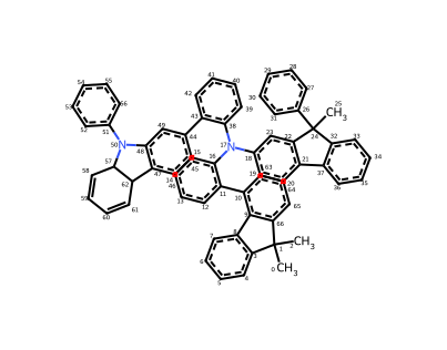 CC1(C)c2ccccc2-c2c(-c3ccccc3N(c3ccc4c(c3)C(C)(c3ccccc3)c3ccccc3-4)c3ccccc3-c3ccc4c(c3)N(c3ccccc3)C3C=CC=CC43)cccc21